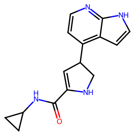 O=C(NC1CC1)C1=CC(c2ccnc3[nH]ccc23)CN1